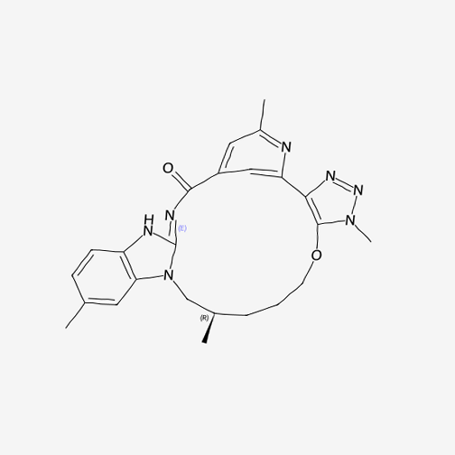 Cc1ccc2c(c1)N1C[C@H](C)CCCOc3c(nnn3C)-c3cc(cc(C)n3)C(=O)/N=C/1N2